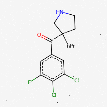 CCCC1(C(=O)c2cc(F)c(Cl)c(Cl)c2)CCNC1